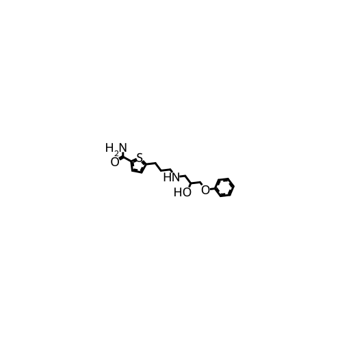 NC(=O)c1ccc(CCCNCC(O)COc2ccccc2)s1